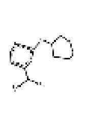 CC(C)c1ccnc(OC2CCOCC2)n1